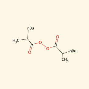 CCCCC(C)C(=O)OOC(=O)C(C)CCCC